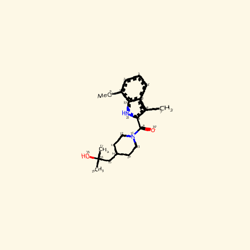 COc1cccc2c(C)c(C(=O)N3CCC(CC(C)(C)O)CC3)[nH]c12